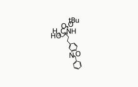 CC(C)(C)OC(=O)N[C@@](C)(CO)CCc1ccc2oc(-c3ccccc3)nc2c1